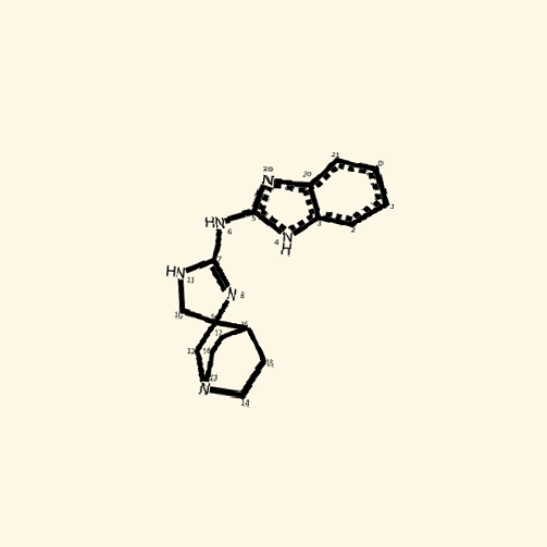 c1ccc2[nH]c(NC3=NC4(CN3)CN3CCC4CC3)nc2c1